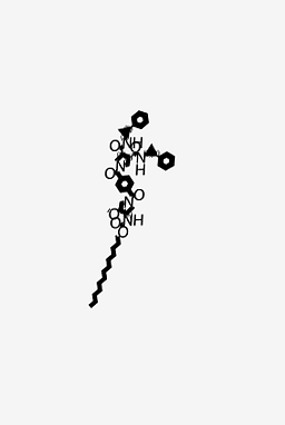 CCCCCCCCCCCCCOC(=O)N[C@H]1CN(C(=O)c2ccc(C(=O)N3C[C@@H](C(=O)N[C@H]4C[C@@H]4c4ccccc4)[C@H](C(=O)N[C@H]4C[C@@H]4c4ccccc4)C3)cc2)C[C@@H]1OC